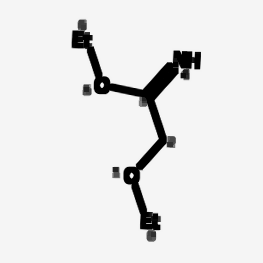 CCOCC(=N)OCC